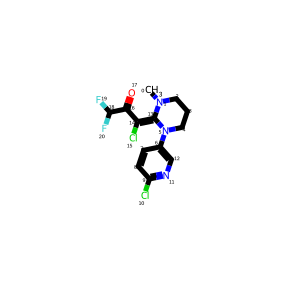 CN1CCCN(c2ccc(Cl)nc2)C1=C(Cl)C(=O)C(F)F